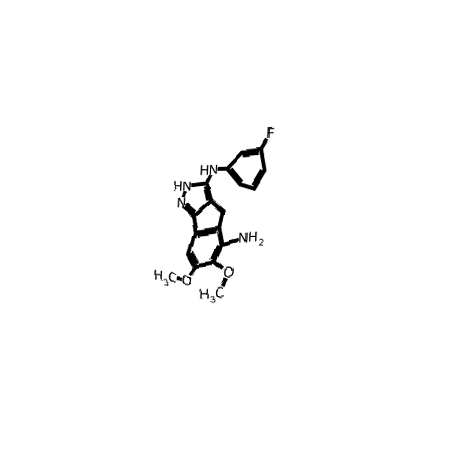 COc1cc2c(c(N)c1OC)Cc1c-2n[nH]c1Nc1cccc(F)c1